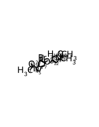 CC(=O)N1CCc2cc(OCC3=CCN(C(C)(C)C)CC3)c(Br)cc21